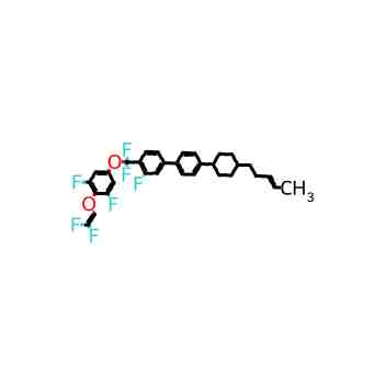 C/C=C/CCC1CCC(c2ccc(-c3ccc(C(F)(F)Oc4cc(F)c(OC=C(F)F)c(F)c4)c(F)c3)cc2)CC1